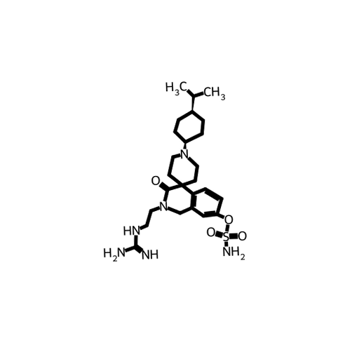 CC(C)[C@H]1CC[C@@H](N2CCC3(CC2)C(=O)N(CCNC(=N)N)Cc2cc(OS(N)(=O)=O)ccc23)CC1